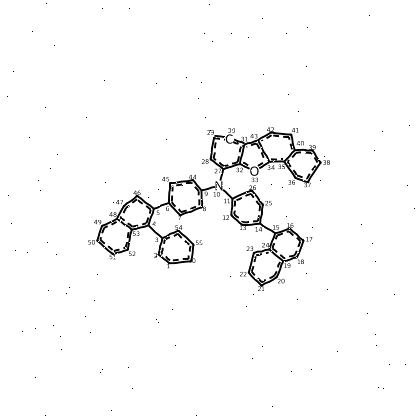 c1ccc(-c2c(-c3ccc(N(c4ccc(-c5cccc6ccccc56)cc4)c4cccc5c4oc4c6ccccc6ccc54)cc3)ccc3ccccc23)cc1